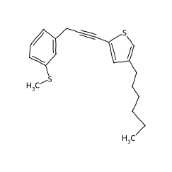 CCCCCCc1csc(C#CCc2cccc(SC)c2)c1